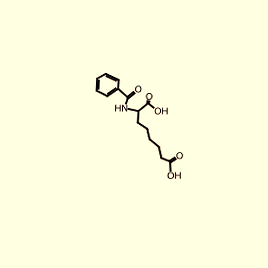 O=C(O)CCCCCC(NC(=O)c1ccccc1)C(=O)O